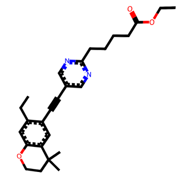 CCOC(=O)CCCCc1ncc(C#Cc2cc3c(cc2CC)OCCC3(C)C)cn1